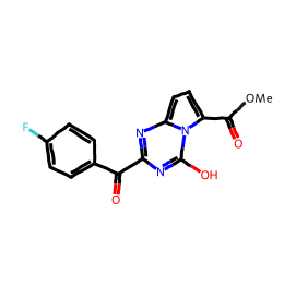 COC(=O)c1ccc2nc(C(=O)c3ccc(F)cc3)nc(O)n12